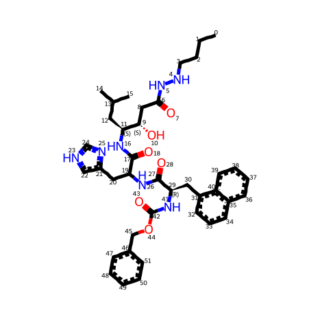 CCCCNNC(=O)C[C@H](O)[C@H](CC(C)C)NC(=O)C(Cc1c[nH]cn1)NC(=O)[C@@H](Cc1cccc2ccccc12)NC(=O)OCc1ccccc1